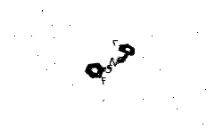 Fc1cccc(/C=N/Sc2ccccc2F)c1